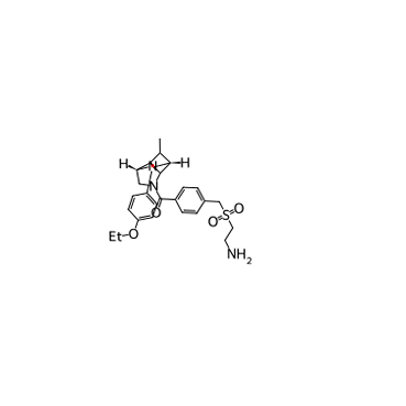 CCOc1ccc(N2C[C@@H]3C(C)C4C3N(C(=O)c3ccc(CS(=O)(=O)CCN)cc3)C[C@H]42)cc1